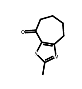 Cc1nc2c(s1)C(=O)CCCC2